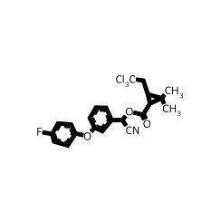 CC1(C)C(CC(Cl)(Cl)Cl)C1C(=O)OC(C#N)c1cccc(Oc2ccc(F)cc2)c1